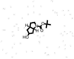 CC(C)(C)OC(=O)N1CC[C@H]2CC(O)C[C@H]21